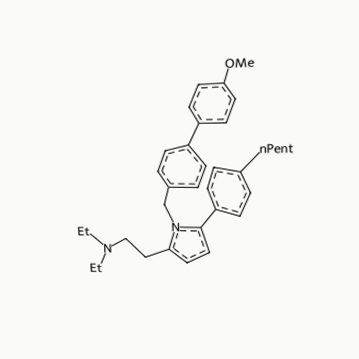 CCCCCc1ccc(-c2ccc(CCN(CC)CC)n2Cc2ccc(-c3ccc(OC)cc3)cc2)cc1